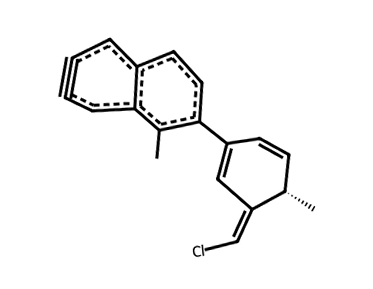 Cc1c(C2=C/C(=C\Cl)[C@@H](C)C=C2)ccc2cc#ccc12